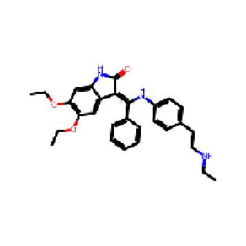 CCNCCc1ccc(N/C(=C2\C(=O)Nc3cc(OCC)c(OCC)cc32)c2ccccc2)cc1